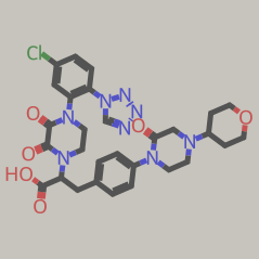 O=C(O)C(Cc1ccc(N2CCN(C3CCOCC3)CC2=O)cc1)N1CCN(c2cc(Cl)ccc2-n2cnnn2)C(=O)C1=O